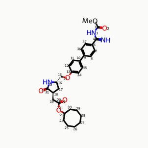 COC(=O)NC(=N)c1ccc(-c2ccc(OC[C@@H]3C[C@@H](CC(=O)OC4CCCCCCC4)C(=O)N3)cc2)cc1